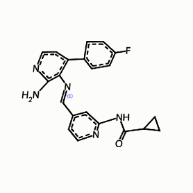 Nc1nccc(-c2ccc(F)cc2)c1/N=C/c1ccnc(NC(=O)C2CC2)c1